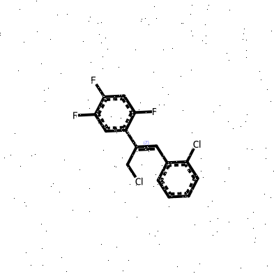 Fc1cc(F)c(/C(=C/c2ccccc2Cl)CCl)cc1F